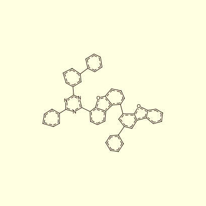 c1ccc(-c2cccc(-c3nc(-c4ccccc4)nc(-c4cccc5c4oc4cccc(-c6cc(-c7ccccc7)cc7c6oc6ccccc67)c45)n3)c2)cc1